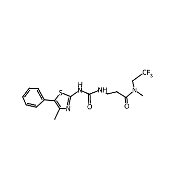 Cc1nc(NC(=O)NCCC(=O)N(C)CC(F)(F)F)sc1-c1ccccc1